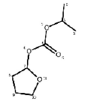 CC(C)OC(=O)OC1CCCO1